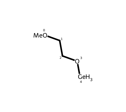 COCC[O][GeH3]